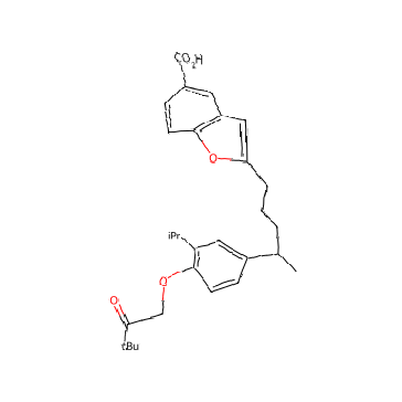 CC(C)c1cc(C(C)CCCc2cc3cc(C(=O)O)ccc3o2)ccc1OCC(=O)C(C)(C)C